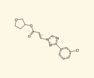 O=C(/C=C/n1cnc(-c2cccc(Cl)c2)n1)OC1CCOC1